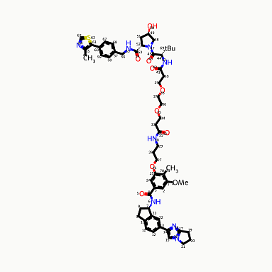 COc1cc(C(=O)N[C@@H]2CCc3ccc(-c4cn5c(n4)CCC5)cc32)cc(OCCCNC(=O)CCOCCOCCC(=O)N[C@H](C(=O)N2C[C@H](O)C[C@H]2C(=O)NCc2ccc(-c3scnc3C)cc2)C(C)(C)C)c1C